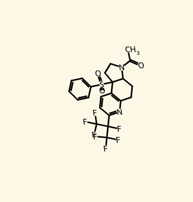 CC(=O)N1CCC2(S(=O)(=O)c3ccccc3)c3ccc(C(F)(C(F)(F)F)C(F)(F)F)nc3CCC12